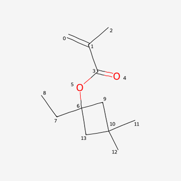 C=C(C)C(=O)OC1(CC)CC(C)(C)C1